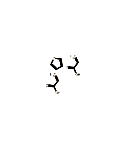 C=CC(=O)O.C=CC(=O)O.c1ccoc1